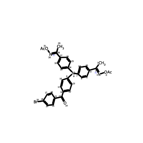 CC(=O)O/N=C(\C)c1ccc(N(c2ccc(C(=O)c3ccc(Br)cc3)cc2)c2ccc(/C(C)=N/OC(C)=O)cc2)cc1